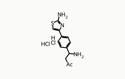 CC(=O)CC(N)c1ccc(-c2csc(N)n2)cc1.Cl.Cl